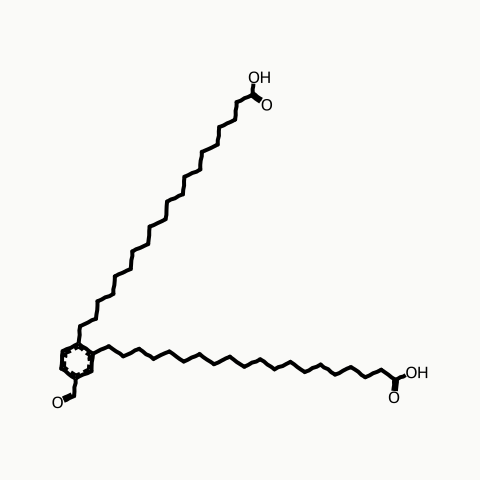 O=Cc1ccc(CCCCCCCCCCCCCCCCCCCC(=O)O)c(CCCCCCCCCCCCCCCCCCCC(=O)O)c1